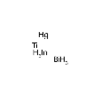 [BiH3].[Hg].[InH3].[Ti]